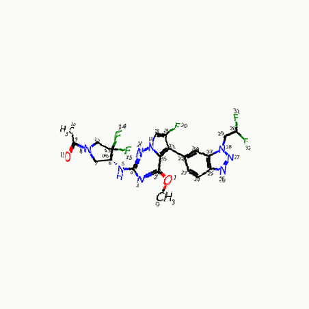 COc1nc(N[C@@H]2CN(C(C)=O)CC2(F)F)nn2cc(F)c(-c3ccc4nnn(CC(F)F)c4c3)c12